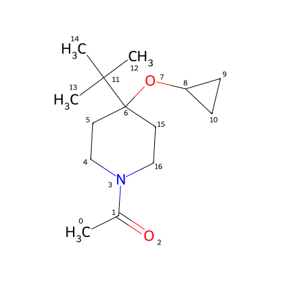 CC(=O)N1CCC(OC2CC2)(C(C)(C)C)CC1